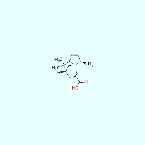 C[C@@H]1CCC2C(C)(C)[C@H]3CC(C(=O)O)=C[C@]21C3